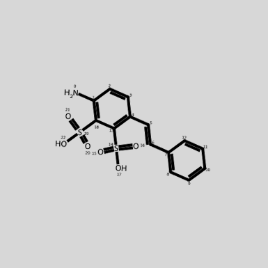 Nc1ccc(C=Cc2ccccc2)c(S(=O)(=O)O)c1S(=O)(=O)O